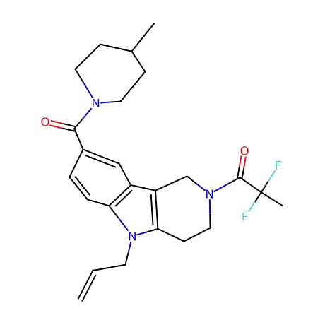 C=CCn1c2c(c3cc(C(=O)N4CCC(C)CC4)ccc31)CN(C(=O)C(C)(F)F)CC2